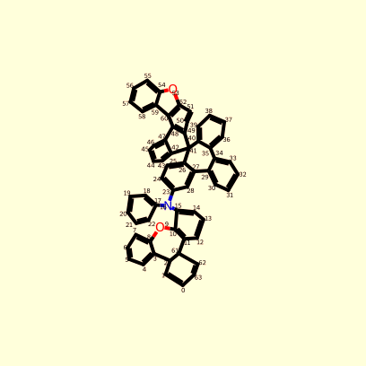 C1=CC2c3ccccc3Oc3c(cccc3N(c3ccccc3)c3ccc4c(c3)-c3ccccc3-c3ccccc3C43c4ccccc4-c4c3ccc3oc5ccccc5c43)C2C=C1